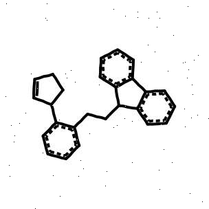 C1=CC(c2ccccc2CCC2c3ccccc3-c3ccccc32)CC1